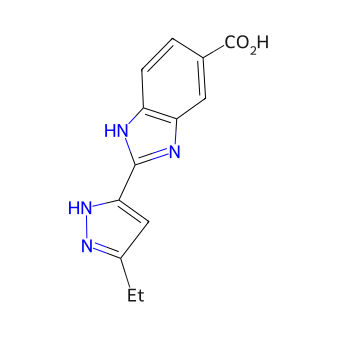 CCc1cc(-c2nc3cc(C(=O)O)ccc3[nH]2)[nH]n1